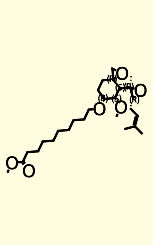 COC(=O)CCCCCCCCCO[C@@H]1CC[C@]2(CO2)[C@@H]([C@@]2(C)O[C@@H]2CC=C(C)C)[C@@H]1OC